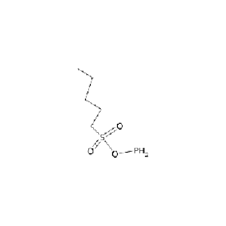 CCCCCS(=O)(=O)OP